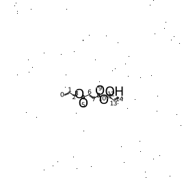 C=CCOC(=O)C=CC(=O)OC(O)C=C